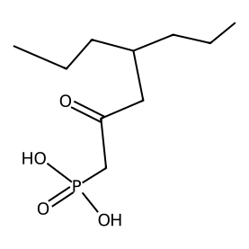 CCCC(CCC)CC(=O)CP(=O)(O)O